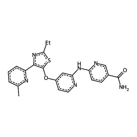 CCc1nc(-c2cccc(C)n2)c(Oc2ccnc(Nc3ccc(C(N)=O)cn3)c2)s1